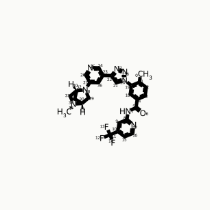 Cc1ccc(C(=O)Nc2cc(C(F)(F)F)ccn2)cc1-n1cc(-c2cncc(N3C[C@H]4C[C@@H]3CN4C)c2)nn1